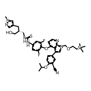 CC(C)Oc1ccc(-c2cn(COCC[Si](C)(C)C)c3nccc(Oc4c(F)cc(NC(=S)NC[C@H](CO)Cc5cnn(C)c5)cc4F)c23)cc1C#N